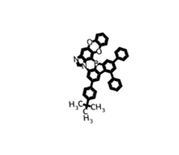 CC(C)(C)c1ccc(-c2cc3c4c(c2)-n2cnc5cc6c(c(c52)B4c2cc(-c4ccccc4)cc(-c4ccccc4)c2-3)Oc2ccccc2O6)cc1